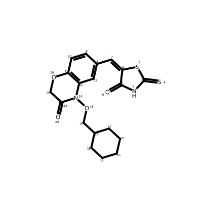 O=C1NC(=S)SC1=Cc1ccc2c(c1)N(OCC1CCCCC1)C(=O)CO2